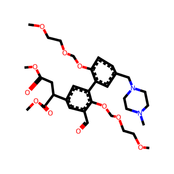 COCCOCOc1ccc(CN2CCN(C)CC2)cc1-c1cc(C(CC(=O)OC)C(=O)OC)cc(C=O)c1OCOCCOC